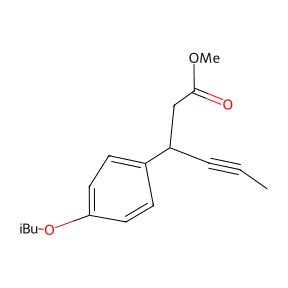 CC#CC(CC(=O)OC)c1ccc(OC(C)CC)cc1